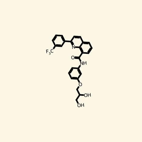 O=C(Nc1cccc(OCC(O)CO)c1)c1cccc2ccc(-c3cccc(C(F)(F)F)c3)nc12